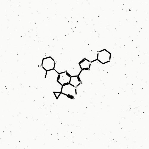 CC1NCCO[C@H]1c1cc(C2(C#N)CC2)c2c(n1)c(-c1ccn(C3CCCCO3)n1)nn2C